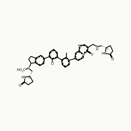 Cc1c(-c2ccn3c(=O)c(CNC[C@@H]4CCC(=O)N4)cnc3c2)cccc1-c1cccc(-c2ccc3c(c2)CCC3N(C[C@@H]2CCC(=O)N2)C(=O)O)c1Cl